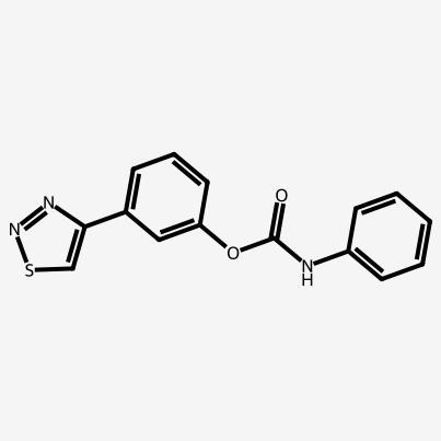 O=C(Nc1ccccc1)Oc1cccc(-c2csnn2)c1